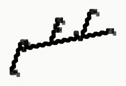 CCCCCCCCC(CC)OC(=O)CCCCCCCN(CCCCCCCC(=O)OC(CCCCCCCC)CCCCCCCC)CCCNSCC